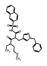 CCN(CCOC)C(=O)C(Cc1cnn(Cc2ccccc2)c1)C(=O)NS(=O)(=O)c1ccc2ccccc2c1